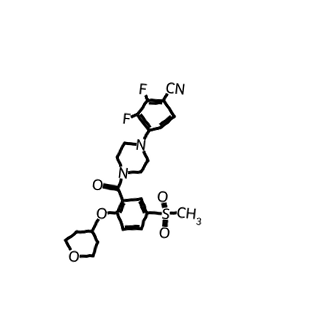 CS(=O)(=O)c1ccc(OC2CCOCC2)c(C(=O)N2CCN(c3ccc(C#N)c(F)c3F)CC2)c1